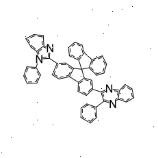 c1ccc(-c2nc3ccccc3nc2-c2ccc3c(c2)C2(c4ccccc4-c4ccccc42)c2cc(-c4nc5ccccc5n4-c4ccccc4)ccc2-3)cc1